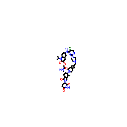 CNC(=O)COc1cc2cc(Nc3nc(N4CCN(CC5CC6(CCN(c7ccc8c(c7F)CN(C7CCC(=O)NC7=O)C8=O)CC6)C5)CC4)ncc3Cl)ccc2n(C(C)C)c1=O